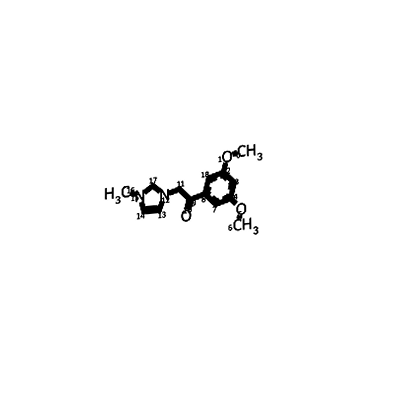 COc1cc(OC)cc(C(=O)CN2C=CN(C)C2)c1